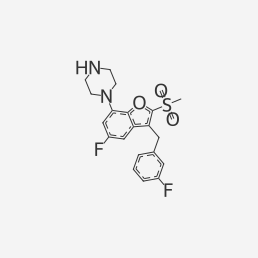 CS(=O)(=O)c1oc2c(N3CCNCC3)cc(F)cc2c1Cc1cccc(F)c1